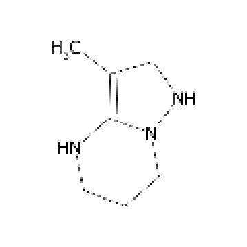 CC1=C2NCCCN2NC1